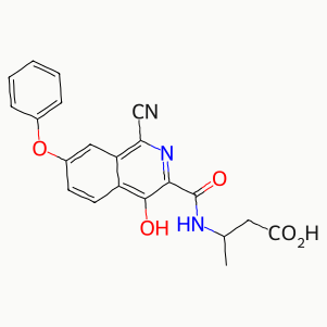 CC(CC(=O)O)NC(=O)c1nc(C#N)c2cc(Oc3ccccc3)ccc2c1O